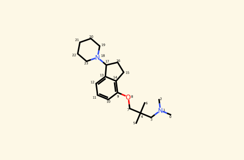 CN(C)CC(C)(C)COc1cccc2c1CCC2N1CCCCC1